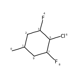 CC1CC(F)C(Cl)C(F)C1